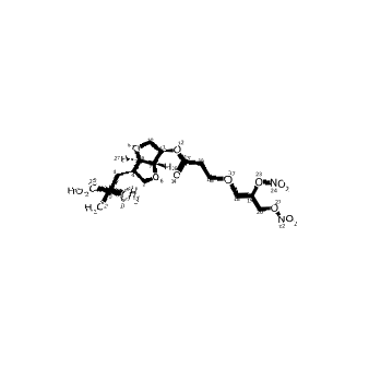 CC(C)(C[C@@H]1CO[C@@H]2[C@@H]1OC[C@H]2OC(=O)CCOCC(CO[N+](=O)[O-])O[N+](=O)[O-])C(=O)O